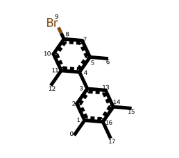 Cc1cc(-c2c(C)cc(Br)cc2C)cc(C)c1C